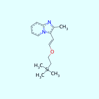 Cc1nc2ccccn2c1C=COCC[Si](C)(C)C